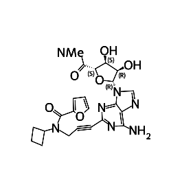 CNC(=O)[C@H]1O[C@@H](n2cnc3c(N)nc(C#CCN(C(=O)c4ccco4)C4CCC4)nc32)[C@H](O)[C@@H]1O